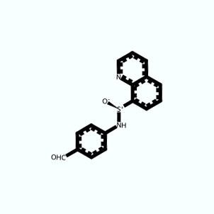 O=Cc1ccc(N[S@@+]([O-])c2cccc3cccnc23)cc1